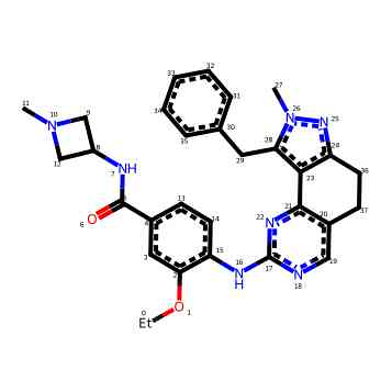 CCOc1cc(C(=O)NC2CN(C)C2)ccc1Nc1ncc2c(n1)-c1c(nn(C)c1Cc1ccccc1)CC2